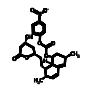 C[C@H]1C=C2C=C[C@H](C)[C@H](CC[C@@H]3C[C@@H](O)CC(=O)O3)[C@H]2[C@@H](OC(=O)Oc2ccc([N+](=O)[O-])cc2)C1